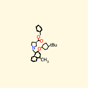 Cc1cc(OC2CCC(C(C)(C)C)CC2)c(CN2CC[C@@H](C(=O)OCc3ccccc3)C2)c2ccccc12